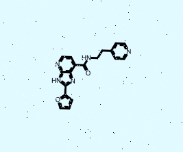 O=C(NCCc1ccncc1)c1ccnc2[nH]c(-c3ccco3)nc12